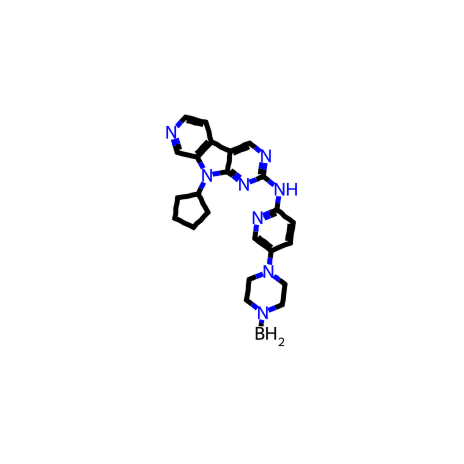 BN1CCN(c2ccc(Nc3ncc4c5ccncc5n(C5CCCC5)c4n3)nc2)CC1